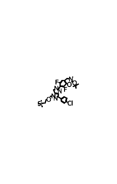 CN(Cc1cc(F)c(-c2ncc3c(n2)c(-c2ccc(Cl)cc2)nn3COCC[Si](C)(C)C)c(F)c1)C(=O)OC(C)(C)C